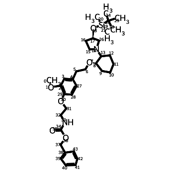 COc1cc(CCO[C@H]2CCCCC2N2CC[C@@H](O[Si](C)(C)C(C)(C)C)C2)ccc1OCCNC(=O)OCc1ccccc1